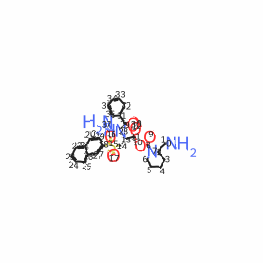 NCC1CCCCN1C(=O)OC(=O)[C@H](CS(=O)(=O)c1ccc2ccccc2c1)NC(=O)c1ccccc1N